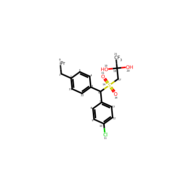 CC(C)Cc1ccc(C(c2ccc(Cl)cc2)S(=O)(=O)CC(O)(O)C(F)(F)F)cc1